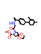 C=C(NCC(=O)N1CC2(C[C@H]1C(=O)OC)OCCO2)C1=CCC(C2CC=C(C)C=C2C)C=C1